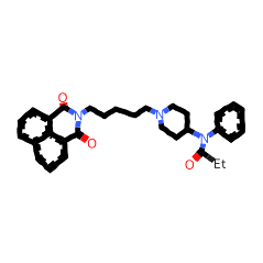 CCC(=O)N(c1ccccc1)C1CCN(CCCCCN2C(=O)c3cccc4cccc(c34)C2=O)CC1